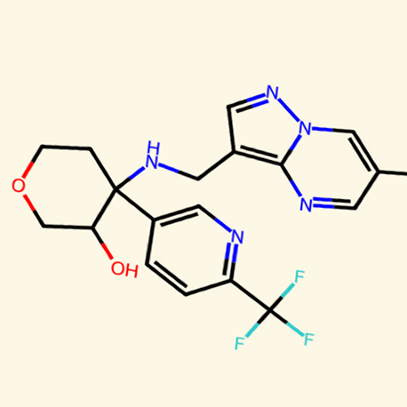 Cc1cnc2c(CNC3(c4ccc(C(F)(F)F)nc4)CCOCC3O)cnn2c1